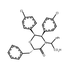 CCCC(C(=O)O)N1C(=O)[C@H](Cc2ccccc2)O[C@@H](c2ccc(Cl)cc2)[C@H]1c1ccc(Cl)cc1